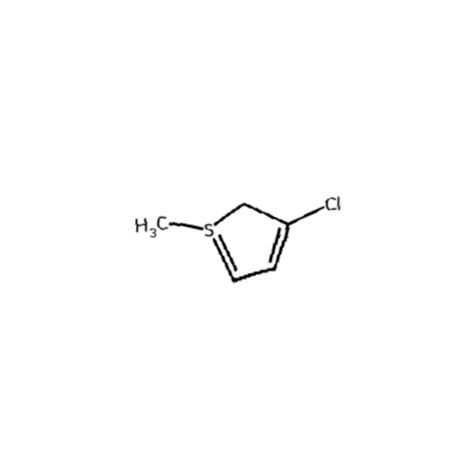 CS1=CC=C(Cl)C1